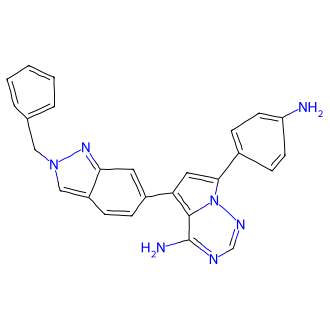 Nc1ccc(-c2cc(-c3ccc4cn(Cc5ccccc5)nc4c3)c3c(N)ncnn23)cc1